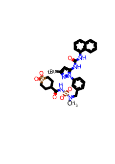 CN(Cc1cccc(-n2nc(C(C)(C)C)cc2NC(=O)Nc2cccc3ccccc23)c1)S(=O)(=O)NC(=O)C1CCS(=O)(=O)CC1